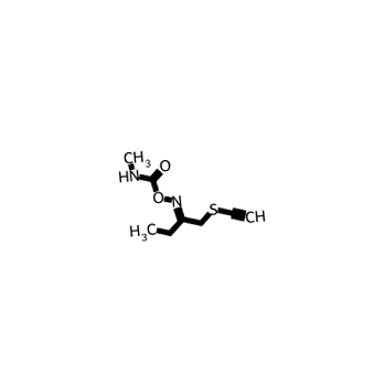 C#CSCC(CC)=NOC(=O)NC